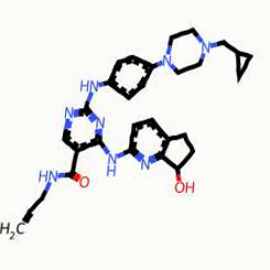 C=CCNC(=O)c1cnc(Nc2ccc(N3CCN(CC4CC4)CC3)cc2)nc1Nc1ccc2c(n1)C(O)CC2